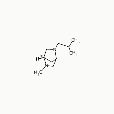 CC(C)CN1C[C@@H]2CC1CN2C